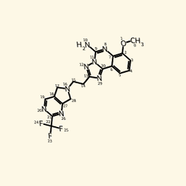 COc1cccc2c1nc(N)n1nc(CCN3Cc4cnc(C(F)(F)F)nc4C3)nc21